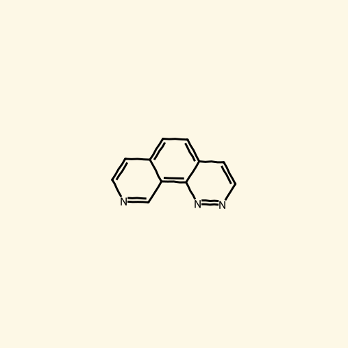 c1cc2ccc3ccnnc3c2cn1